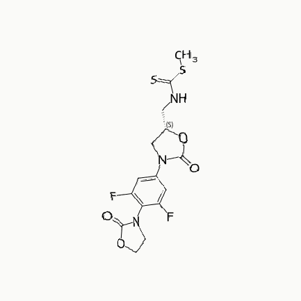 CSC(=S)NC[C@H]1CN(c2cc(F)c(N3CCOC3=O)c(F)c2)C(=O)O1